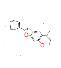 CC1=CCOc2cc3oc(-c4ccccc4)cc3cc21